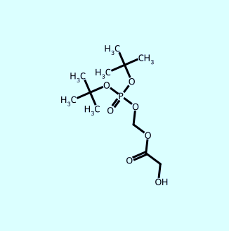 CC(C)(C)OP(=O)(OCOC(=O)CO)OC(C)(C)C